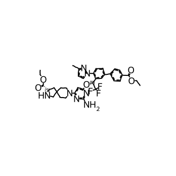 CCOC(=O)c1ccc(-c2ccc(-n3ccc(C)n3)c([C@@H](Oc3cc(N4CCC5(CC4)CN[C@H](C(=O)OCC)C5)nc(N)n3)C(F)(F)F)c2)cc1